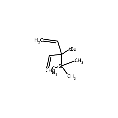 C=CC(C=C)(C(C)(C)C)[Si](C)(C)C